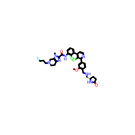 COc1cc(-c2nccc(-c3cccc(NC(=O)c4nc5c(n4C)CN(CCCF)CC5)c3Cl)c2Cl)ccc1CNC[C@@H]1CCC(=O)N1